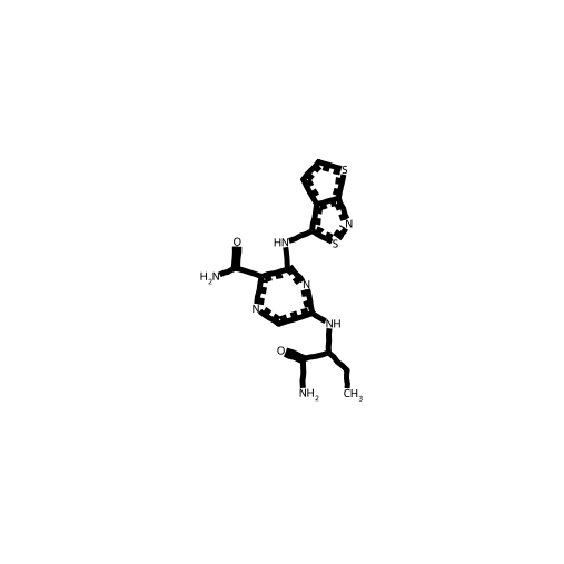 CCC(Nc1cnc(C(N)=O)c(Nc2snc3sccc23)n1)C(N)=O